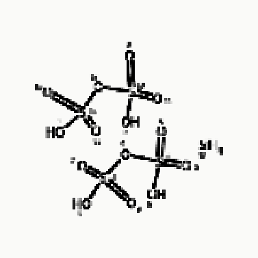 O=S(=O)(O)OS(=O)(=O)O.O=S(=O)(O)OS(=O)(=O)O.[SiH4]